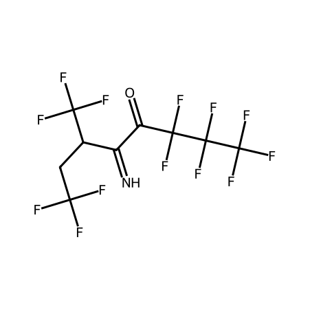 N=C(C(=O)C(F)(F)C(F)(F)C(F)(F)F)C(CC(F)(F)F)C(F)(F)F